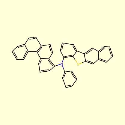 c1ccc(N(c2cccc3c2ccc2ccc4ccccc4c23)c2cccc3c2sc2cc4ccccc4cc23)cc1